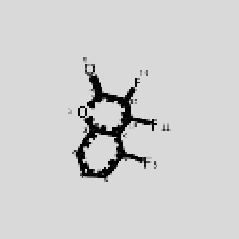 O=c1oc2cccc(F)c2c(F)c1F